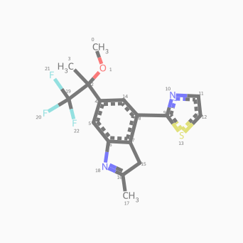 COC(C)(c1cc2c(c(-c3nccs3)c1)CC(C)=N2)C(F)(F)F